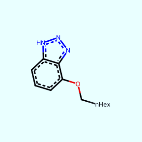 CCCCCCCOc1cccc2[nH]nnc12